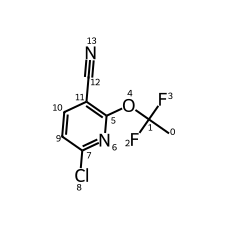 CC(F)(F)Oc1nc(Cl)ccc1C#N